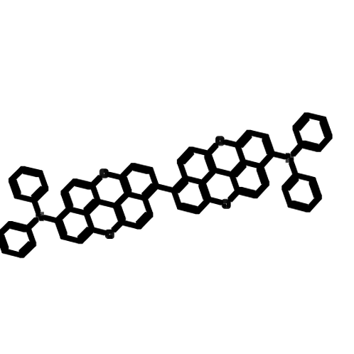 c1ccc(N(c2ccccc2)c2ccc3oc4ccc5c(-c6ccc7oc8ccc9c(N(c%10ccccc%10)c%10ccccc%10)ccc%10oc%11ccc6c7c%11-c8c%109)ccc6oc7ccc2c3c7-c4c65)cc1